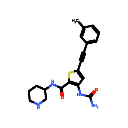 Cc1cccc(C#Cc2cc(NC(N)=O)c(C(=O)NC3CCCNC3)s2)c1